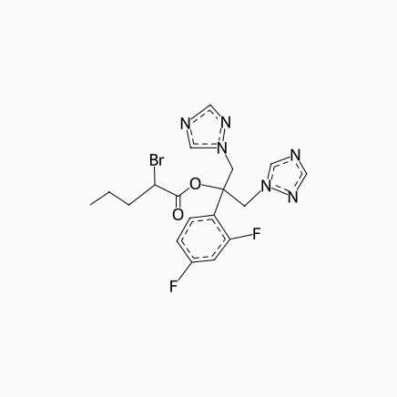 CCCC(Br)C(=O)OC(Cn1cncn1)(Cn1cncn1)c1ccc(F)cc1F